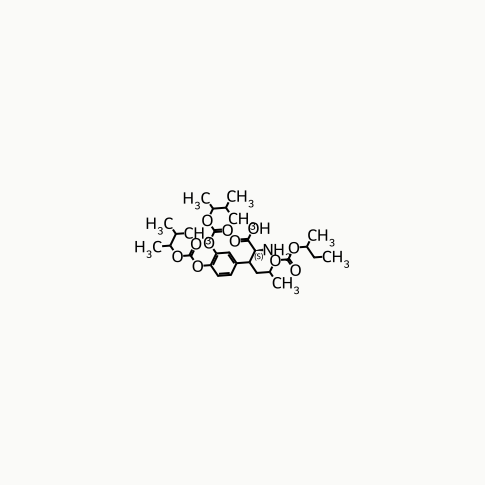 CCC(C)OC(=O)OC(C)CC(c1ccc(OC(=O)OC(C)C(C)C)c(OC(=O)OC(C)C(C)C)c1)[C@H](N)C(=O)O